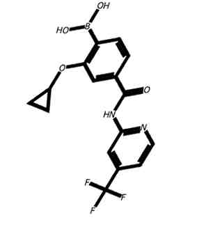 O=C(Nc1cc(C(F)(F)F)ccn1)c1ccc(B(O)O)c(OC2CC2)c1